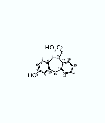 O=C(O)CC1Cc2ccc(O)cc2Cc2ccccc21